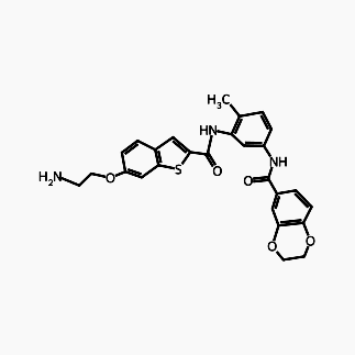 Cc1ccc(NC(=O)c2ccc3c(c2)OCCO3)cc1NC(=O)c1cc2ccc(OCCN)cc2s1